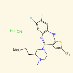 COCC[C@H]1CN(C2=Nc3cc(F)c(F)cc3Nc3sc(C(F)(F)F)cc32)CCN1C.Cl.Cl